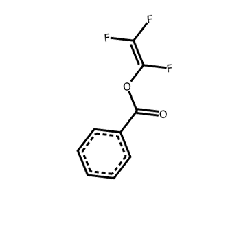 O=C(OC(F)=C(F)F)c1ccccc1